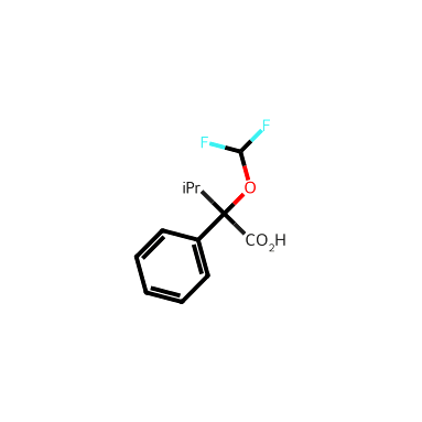 CC(C)C(OC(F)F)(C(=O)O)c1ccccc1